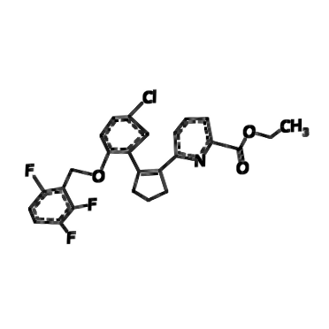 CCOC(=O)c1cccc(C2=C(c3cc(Cl)ccc3OCc3c(F)ccc(F)c3F)CCC2)n1